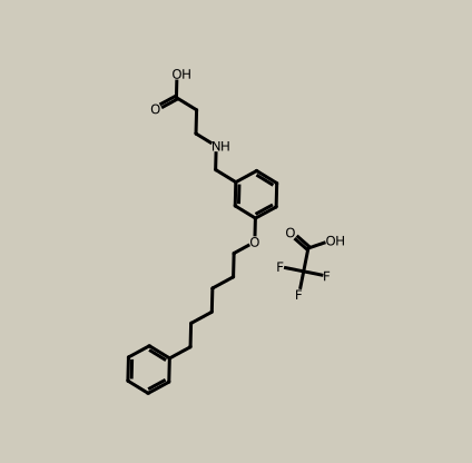 O=C(O)C(F)(F)F.O=C(O)CCNCc1cccc(OCCCCCCc2ccccc2)c1